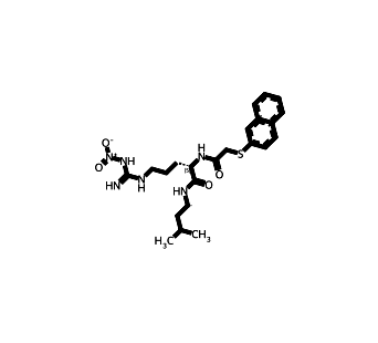 CC(C)C[CH]NC(=O)[C@H](CCCNC(=N)N[N+](=O)[O-])NC(=O)CSc1ccc2ccccc2c1